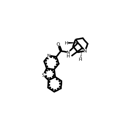 C[C@H]1[C@H](NC(=O)c2cc3c(cn2)sc2ccccc23)C2CCN1CC2